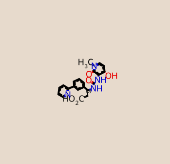 Cn1ccc(O)c(NC(=O)N[C@@H](CC(=O)O)c2cccc(-c3ccccn3)c2)c1=O